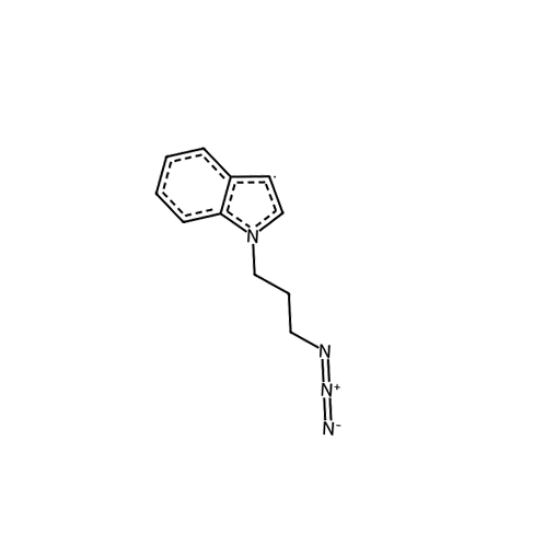 [N-]=[N+]=NCCCn1c[c]c2ccccc21